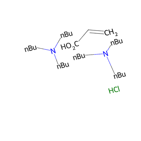 C=CC(=O)O.CCCCN(CCCC)CCCC.CCCCN(CCCC)CCCC.Cl